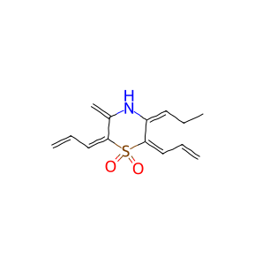 C=C/C=C1\C(=C)NC(=C/CC)/C(=C\C=C)S1(=O)=O